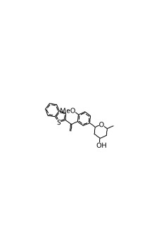 C=C(c1cc2ccccc2s1)c1cc(C2CC(O)CC(C)O2)ccc1OC